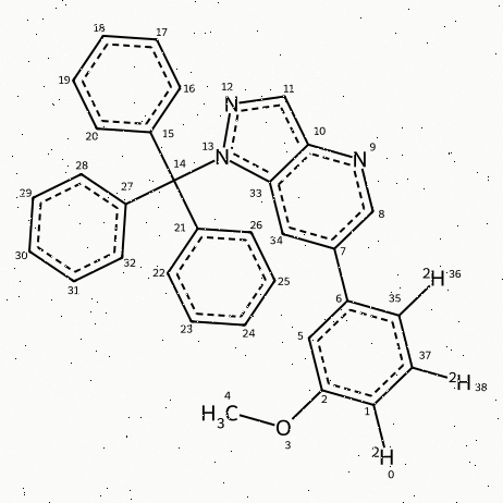 [2H]c1c(OC)cc(-c2cnc3cnn(C(c4ccccc4)(c4ccccc4)c4ccccc4)c3c2)c([2H])c1[2H]